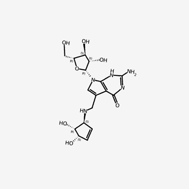 Nc1nc(=O)c2c(CN[C@H]3C=C[C@H](O)[C@@H]3O)cn([C@@H]3O[C@H](CO)[C@@H](O)[C@@H]3O)c2[nH]1